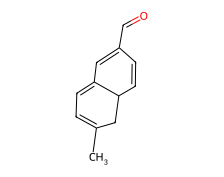 CC1=CC=C2C=C(C=O)C=CC2C1